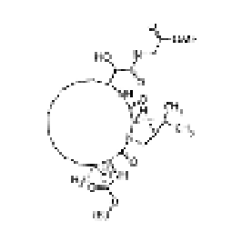 COC(=O)CNC(=O)C(O)[C@@H]1CCCCCCCCCC(C)(C)[C@H](NC(=O)OC(C)(C)C)C(=O)N2CC3C([C@H]2C(=O)N1)C3(C)C